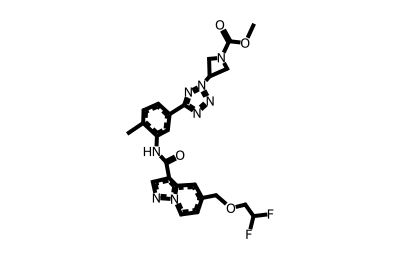 COC(=O)N1CC(n2nnc(-c3ccc(C)c(NC(=O)c4cnn5ccc(COCC(F)F)cc45)c3)n2)C1